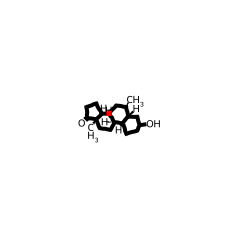 C[C@H]1C[C@@H]2[C@H](CC[C@]3(C)C(=O)CC[C@@H]23)[C@H]2CCC(O)C[C@H]21